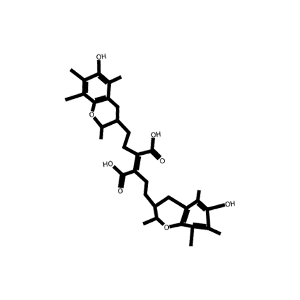 Cc1c(C)c2c(c(C)c1O)CC(CC/C(C(=O)O)=C(/CCC1Cc3c(C)c(O)c(C)c(C)c3OC1C)C(=O)O)C(C)O2